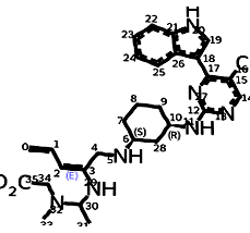 C=C/C=C(\CN[C@H]1CCC[C@@H](Nc2ncc(Cl)c(-c3c[nH]c4ccccc34)n2)C1)NC(C)N(C)CC(=O)O